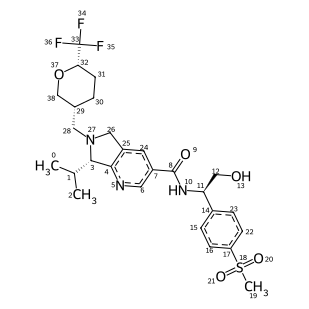 CC(C)[C@H]1c2ncc(C(=O)N[C@@H](CO)c3ccc(S(C)(=O)=O)cc3)cc2CN1C[C@H]1CC[C@@H](C(F)(F)F)OC1